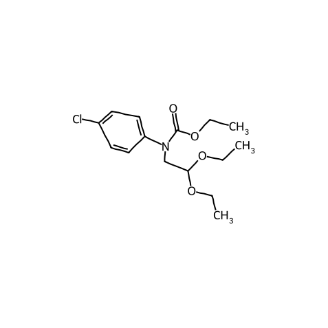 CCOC(=O)N(CC(OCC)OCC)c1ccc(Cl)cc1